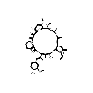 C=C(C[C@@H]1/C=C(\C)C[C@H](C)C[C@H](OC)[C@H]2O[C@@](O)(C(=O)C(=O)N3CCCC[C@H]3C(=O)O[C@H](/C(C)=C/[C@@H]3CC[C@@H](O)[C@H](OC)C3)[C@H](C)[C@@H](O)CC1=N)[C@H](C)C[C@@H]2OC)NCC